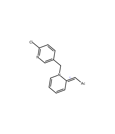 CC(=O)/C=C1\C=CC=CN1Cc1ccc(Cl)nc1